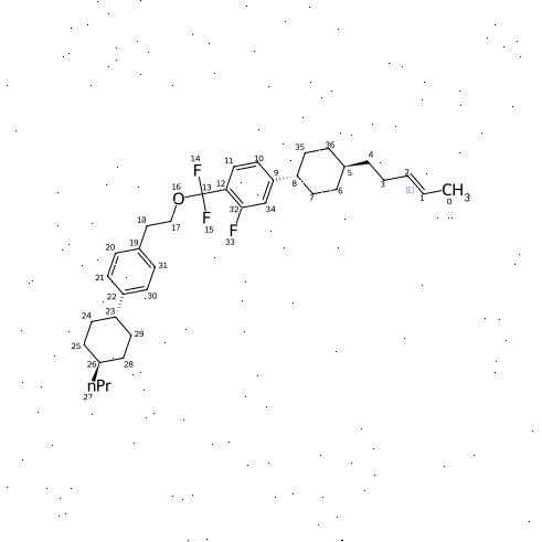 C/C=C/CC[C@H]1CC[C@H](c2ccc(C(F)(F)OCCc3ccc([C@H]4CC[C@H](CCC)CC4)cc3)c(F)c2)CC1